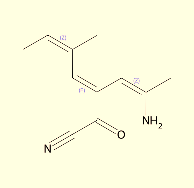 C\C=C(C)/C=C(\C=C(\C)N)C(=O)C#N